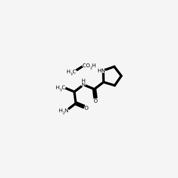 CC(=O)O.CC(NC(=O)C1CCCN1)C(N)=O